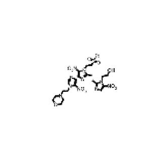 CCS(=O)(=O)CCn1c([N+](=O)[O-])cnc1C.Cc1ncc([N+](=O)[O-])n1CCO.O=[N+]([O-])c1cncn1CCN1CCOCC1